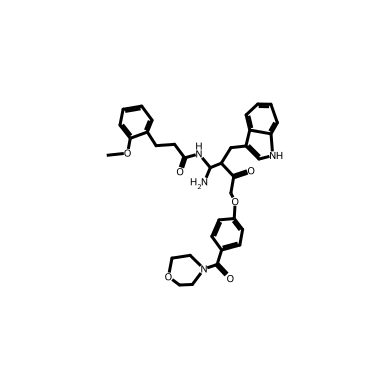 COc1ccccc1CCC(=O)NC(N)C(Cc1c[nH]c2ccccc12)C(=O)COc1ccc(C(=O)N2CCOCC2)cc1